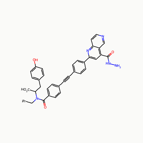 CC(C)CN(C(=O)c1ccc(C#Cc2ccc(-c3cc(C(=O)NN)c4cnccc4n3)cc2)cc1)C(Cc1ccc(O)cc1)C(=O)O